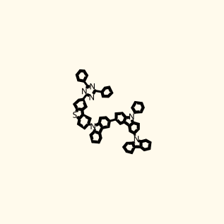 c1ccc(-c2nc(-c3ccccc3)nc(-c3ccc4sc5ccc(-n6c7ccccc7c7cc(-c8ccc9c(c8)c8cc(-n%10c%11ccccc%11c%11ccccc%11%10)ccc8n9-c8ccccc8)ccc76)cc5c4c3)n2)cc1